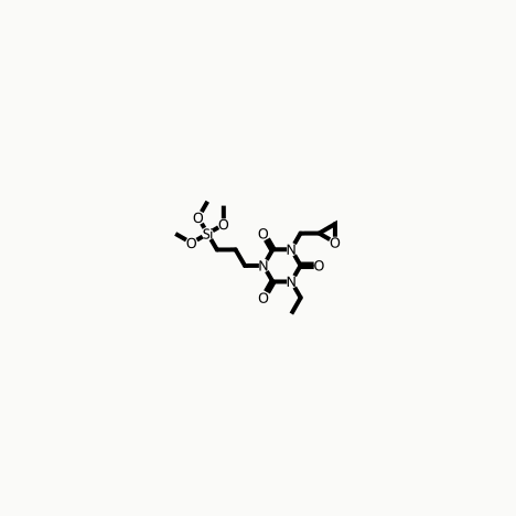 CCn1c(=O)n(CCC[Si](OC)(OC)OC)c(=O)n(CC2CO2)c1=O